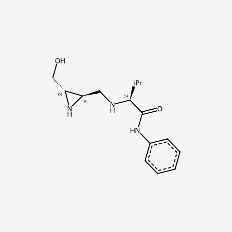 CC(C)[C@H](NC[C@H]1N[C@@H]1CO)C(=O)Nc1ccccc1